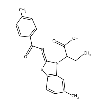 CCC(C(=O)O)n1c(=NC(=O)c2ccc(C)cc2)sc2ccc(C)cc21